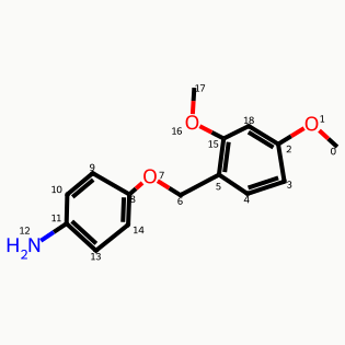 COc1ccc(COc2ccc(N)cc2)c(OC)c1